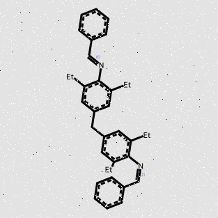 CCc1cc(Cc2cc(CC)c(/N=C/c3ccccc3)c(CC)c2)cc(CC)c1/N=C\c1ccccc1